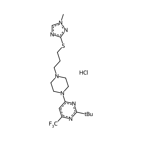 Cl.Cn1cnc(SCCCN2CCN(c3cc(C(F)(F)F)nc(C(C)(C)C)n3)CC2)n1